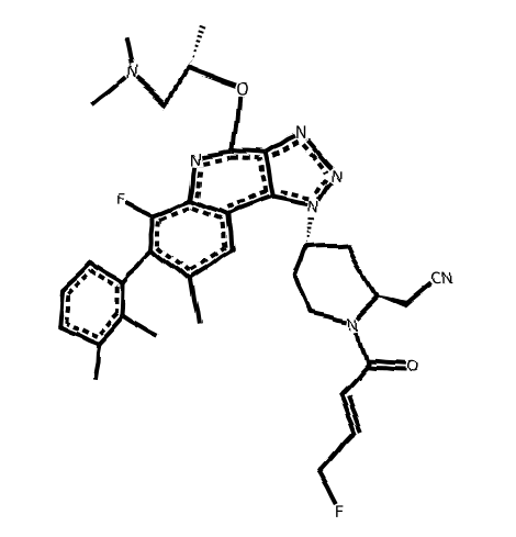 Cc1cccc(-c2c(C)cc3c(nc(O[C@@H](C)CN(C)C)c4nnn([C@H]5CCN(C(=O)/C=C/CF)[C@H](CC#N)C5)c43)c2F)c1C